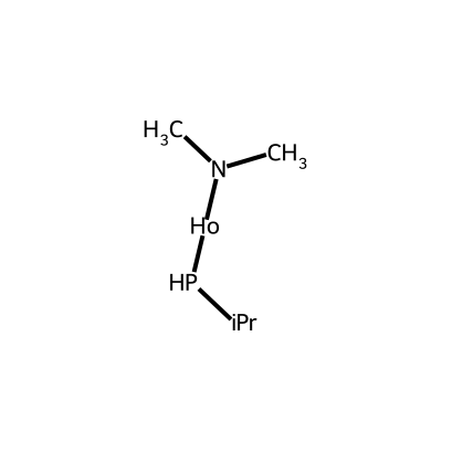 CC(C)[PH][Ho][N](C)C